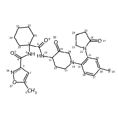 Cc1cc(C(=O)NC2(C(=O)NC3CCN(c4ccc(F)cc4N4CCCC4=O)CC3=O)CCCCC2)no1